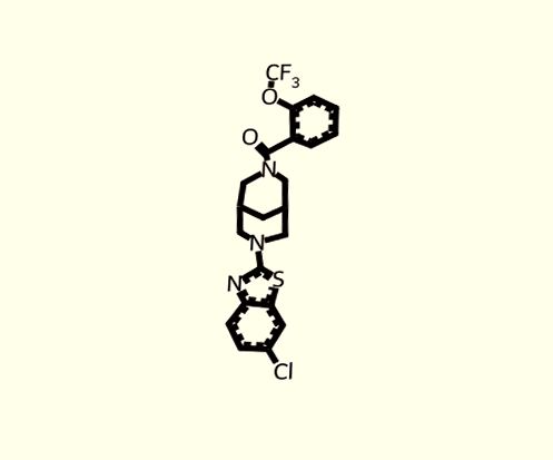 O=C(c1ccccc1OC(F)(F)F)N1CC2CC(C1)CN(c1nc3ccc(Cl)cc3s1)C2